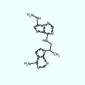 CC(CNc1ncnn2c(NN)cnc12)n1ccc2c(N)ncnc21